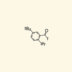 CC(C)c1ccc(C(C)(C)C)cc1C(=O)I